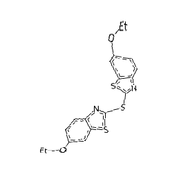 CCOc1ccc2nc(Sc3nc4ccc(OCC)cc4s3)sc2c1